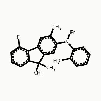 Cc1ccccc1N(c1cc2c(cc1C)-c1c(F)cccc1C2(C)C)C(C)C